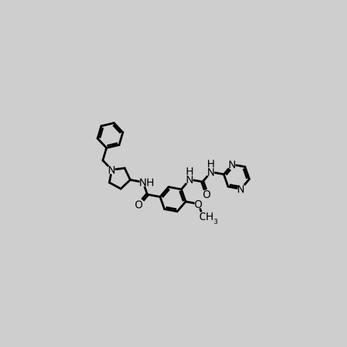 COc1ccc(C(=O)NC2CCN(Cc3ccccc3)C2)cc1NC(=O)Nc1cnccn1